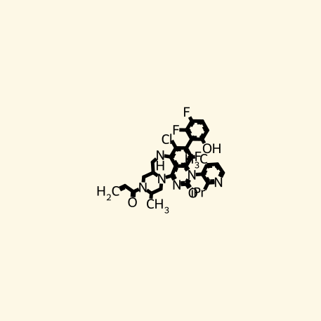 C=CC(=O)N1CC2CNc3c(Cl)c(-c4c(O)ccc(F)c4F)c(F)c4c3c(nc(=O)n4-c3c(C)ccnc3C(C)C)N2CC1C